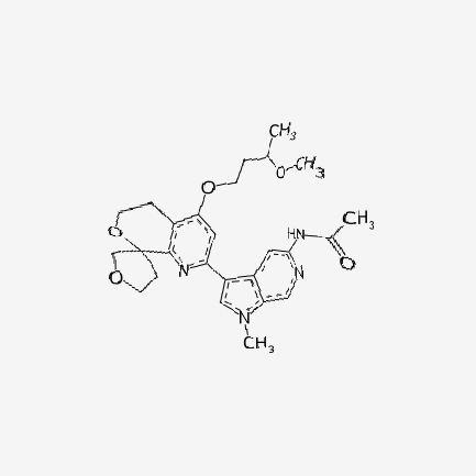 COC(C)CCOc1cc(-c2cn(C)c3cnc(NC(C)=O)cc23)nc2c1CCOC21CCOC1